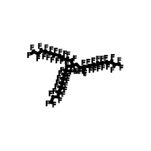 FC(F)C(F)C(F)C(F)(F)C(F)(F)C(F)(F)C(F)(F)C(F)(F)C(F)(F)C(F)CC(O[SiH3])(C(F)C(F)(F)C(F)(F)C(F)(F)C(F)(F)C(F)(F)C(F)(F)C(F)C(F)C(F)F)C(F)C(F)(F)C(F)(F)C(F)(F)C(F)(F)C(F)(F)C(F)(F)C(F)C(F)C(F)F